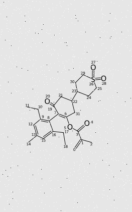 C=C(C)C(=O)OC1=C(c2c(CC)cc(C)cc2CC)C(=O)CC(C2CCS(=O)(=O)CC2)C1